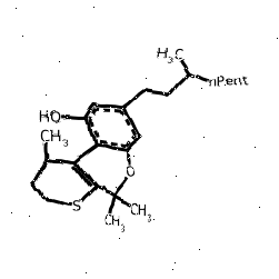 CCCCCC(C)CCc1cc(O)c2c(c1)OC(C)(C)C1=C2C(C)CCS1